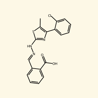 Cc1sc(NN=Cc2ccccc2C(=O)O)nc1-c1ccccc1Cl